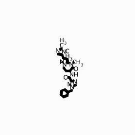 Cc1ncc(-c2cc3n(n2)CCC(NC(=O)c2ncn(Cc4ccccc4)n2)C(=O)N3C)n1C